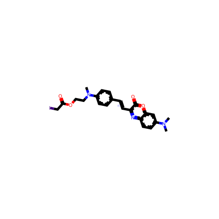 CN(C)c1ccc2nc(/C=C/c3ccc(N(C)CCOC(=O)CI)cc3)c(=O)oc2c1